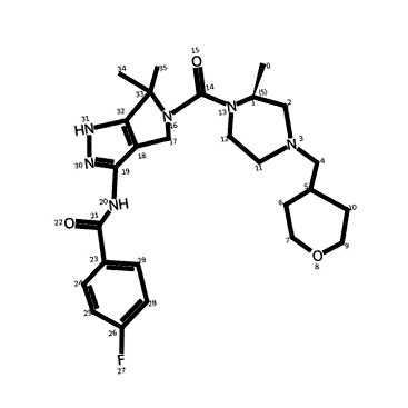 C[C@H]1CN(CC2CCOCC2)CCN1C(=O)N1Cc2c(NC(=O)c3ccc(F)cc3)n[nH]c2C1(C)C